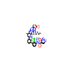 COc1nc(-c2cccc(-c3cccc(NC(=O)c4ccnn(C)c4=O)c3Cl)c2Cl)cc(C)c1CNCC1CCC(=O)N1